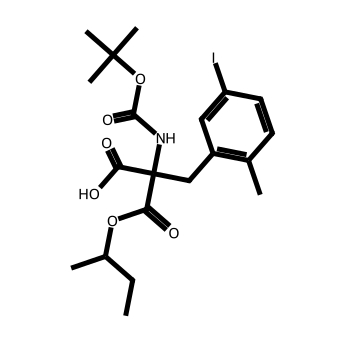 CCC(C)OC(=O)C(Cc1cc(I)ccc1C)(NC(=O)OC(C)(C)C)C(=O)O